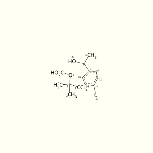 CC(C)(OC(=O)O)C(Cl)(Cl)Cl.CC(O)c1ccc(Cl)cc1